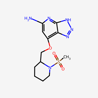 CS(=O)(=O)N1CCCCC1COc1cc(N)nc2[nH]nnc12